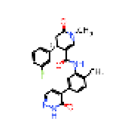 Cc1ccc(-c2ccn[nH]c2=O)cc1NC(=O)C1=CN(C)C(=O)C[C@H]1c1cccc(F)c1